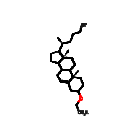 CC(C)CCC[C@@H](C)[C@H]1CCC2C3CC=C4CC(OCC(=O)O)CC[C@]4(C)C3CC[C@@]21C